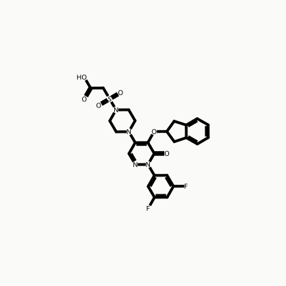 O=C(O)CS(=O)(=O)N1CCN(c2cnn(-c3cc(F)cc(F)c3)c(=O)c2OC2Cc3ccccc3C2)CC1